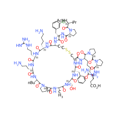 CCCCC1NC(=O)[C@H](CCCN)NC(=O)[C@H](CCCNC(=N)N)NC(=O)[C@H](CCCCN)NC(=O)C(NC(=O)[C@H](Cc2cccc(Cl)c2)NC(=O)[C@@H]2CCCN2C(=O)[C@@H](NC(C)=O)C(C)C)CCSSC[C@@H](C(=O)NC(CCCCN)C(=O)N2CCC[C@H]2C(=O)N2CCC[C@H]2C(=O)N[C@@H](CCC(=O)O)C(N)=O)NC(=O)[C@H](Cc2ccccc2)NC(=O)[C@H](CO)NC(=O)C(C)NC(=O)[C@@H]2CCCN2C1=O